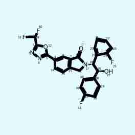 O=C1c2cc(-c3nnc(C(F)F)o3)ccc2CN1[C@H](c1ccccc1F)[C@@H](O)c1ccc(F)cc1